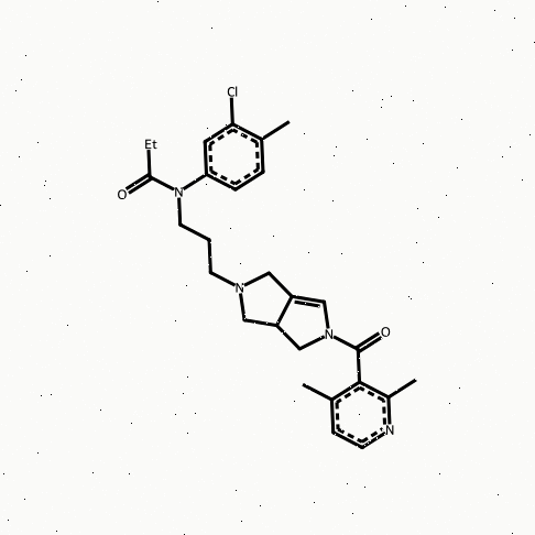 CCC(=O)N(CCCN1CC2=CN(C(=O)c3c(C)ccnc3C)CC2C1)c1ccc(C)c(Cl)c1